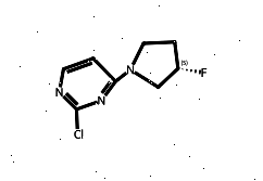 F[C@H]1CCN(c2ccnc(Cl)n2)C1